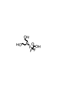 CN(CCO)CCO.O=C(O)C(F)(F)F